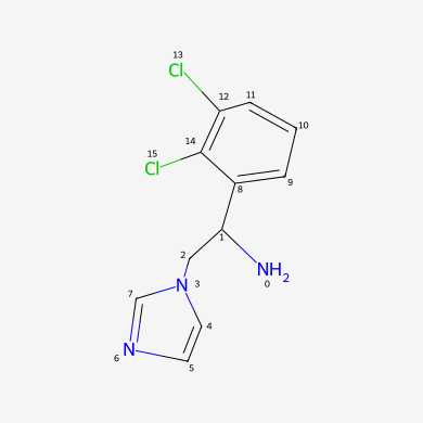 NC(Cn1ccnc1)c1cccc(Cl)c1Cl